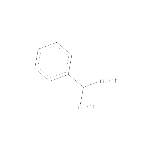 CCCCCCCCC(CCCCCCCC)c1ccccc1